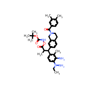 CCN(N)c1ccc(C(c2ccc3c(c2)CN(C(=O)c2ccc(C)c(C)c2)CC3)C(C)C(=O)ONC(=O)OC(C)(C)C)c(C)c1N